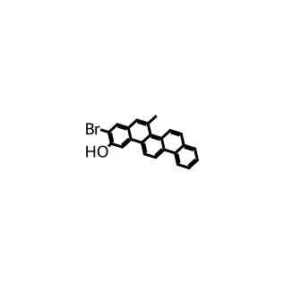 Cc1cc2cc(Br)c(O)cc2c2ccc3c4ccccc4ccc3c12